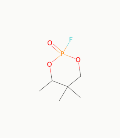 CC1OP(=O)(F)OCC1(C)C